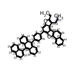 C=Cc1oc2cc(-c3ccc(-c4c5ccccc5c(-c5cccc6ccccc56)c5ccccc45)cc3)c3oc4c5ccccc5ccc4c3c2c1/C=C\C